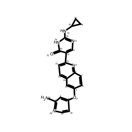 Nc1cc(Oc2ccc3nc(-c4cnc(NC5CC5)[nH]c4=O)ccc3c2)ccn1